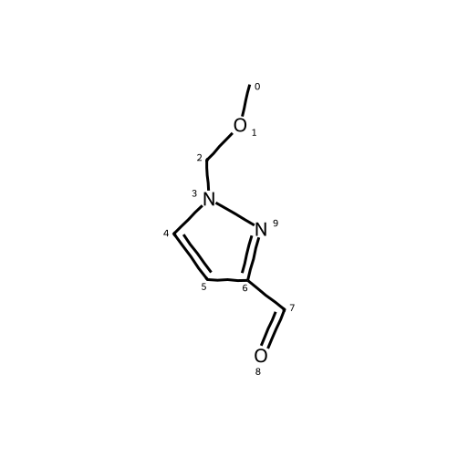 COCn1ccc(C=O)n1